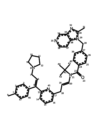 Cc1ccc(C(=CCN2CCCC2)c2cccc(CC=CN(C(=O)c3ccc(Cn4c(C)nc5cnccc54)cc3)C(C)(C)C)n2)cc1